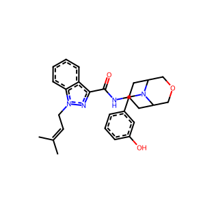 CC(C)=CCn1nc(C(=O)NC2CC3COCC(C2)N3Cc2cccc(O)c2)c2ccccc21